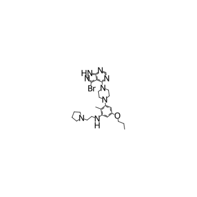 CCCOc1cc(NCCN2CCCC2)c(C)c(N2CCN(c3ncnc4[nH]nc(Br)c34)CC2)c1